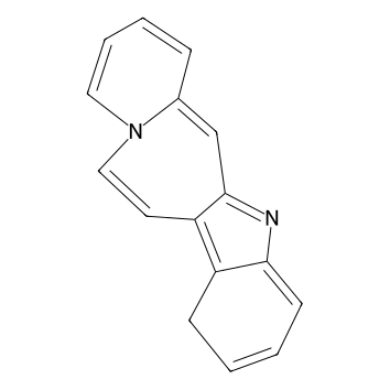 C1=CCC2=C3C=CN4C=CC=CC4=CC3=NC2=C1